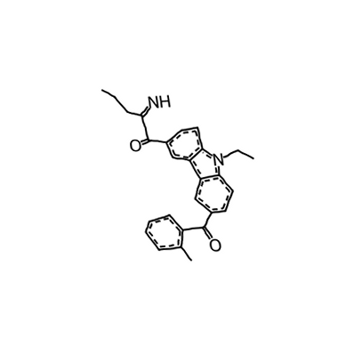 CCCC(=N)C(=O)c1ccc2c(c1)c1cc(C(=O)c3ccccc3C)ccc1n2CC